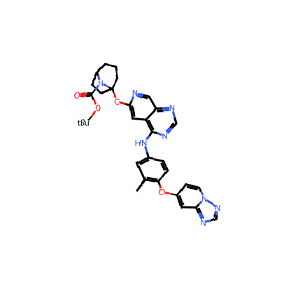 Cc1cc(Nc2ncnc3cnc(OC45CCCC(CC4)N5C(=O)OC(C)(C)C)cc23)ccc1Oc1ccn2ncnc2c1